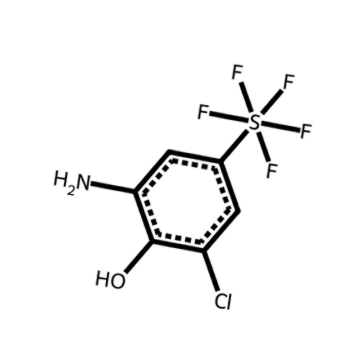 Nc1cc(S(F)(F)(F)(F)F)cc(Cl)c1O